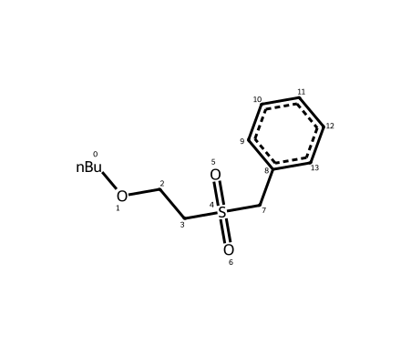 CCCCOCCS(=O)(=O)Cc1ccccc1